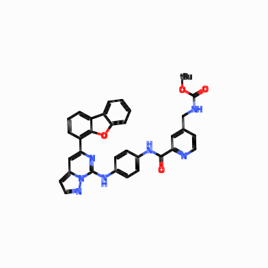 CC(C)(C)OC(=O)NCc1ccnc(C(=O)Nc2ccc(Nc3nc(-c4cccc5c4oc4ccccc45)cc4ccnn34)cc2)c1